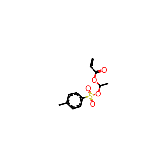 C=CC(=O)OC(C)OS(=O)(=O)c1ccc(C)cc1